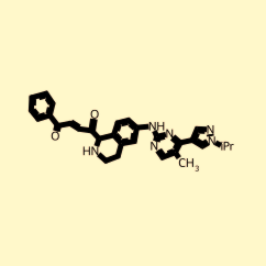 Cc1cnc(Nc2ccc3c(c2)CCNC3C(=O)C=CC(=O)c2ccccc2)nc1-c1cnn(C(C)C)c1